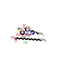 CCCCCCCCCCCCCCCC(=O)O.CCC[C@@H]1C[C@@H](C(=O)NC(C(C)O)[C@H]2O[C@H](SC)[C@H](O)[C@@H](O)[C@H]2O)N(C)C1.Cl